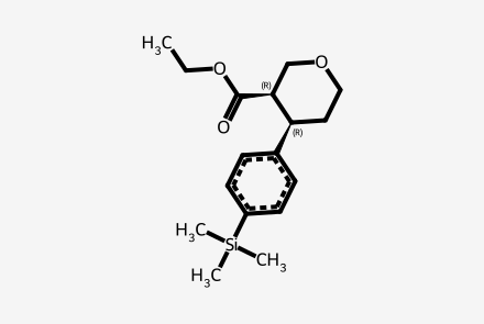 CCOC(=O)[C@H]1COCC[C@H]1c1ccc([Si](C)(C)C)cc1